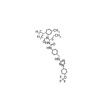 CCSC(NC(=O)Nc1ccc(CNc2ncn(-c3ccc(OC(F)(F)F)cc3)n2)cc1)N(C=O)c1cc(C)ccc1C(C)C